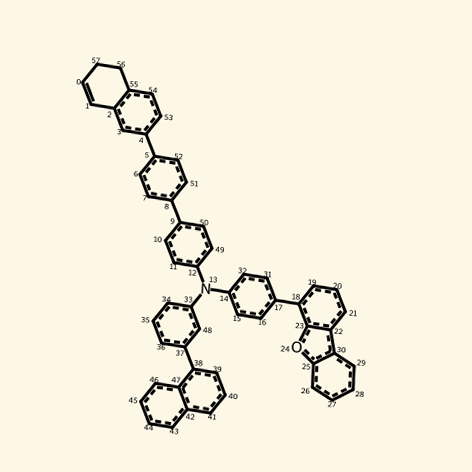 C1=Cc2cc(-c3ccc(-c4ccc(N(c5ccc(-c6cccc7c6oc6ccccc67)cc5)c5cccc(-c6cccc7ccccc67)c5)cc4)cc3)ccc2CC1